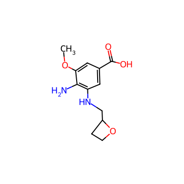 COc1cc(C(=O)O)cc(NCC2CCO2)c1N